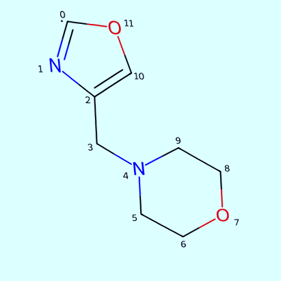 [c]1nc(CN2CCOCC2)co1